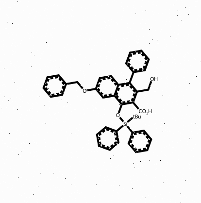 CC(C)(C)[Si](Oc1c(C(=O)O)c(CO)c(-c2ccccc2)c2ccc(OCc3ccccc3)cc12)(c1ccccc1)c1ccccc1